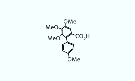 COc1ccc(-c2c(C(=O)O)cc(OC)c(OC)c2OC)cc1